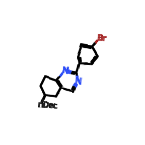 CCCCCCCCCCC1CCc2nc(-c3ccc(Br)cc3)ncc2C1